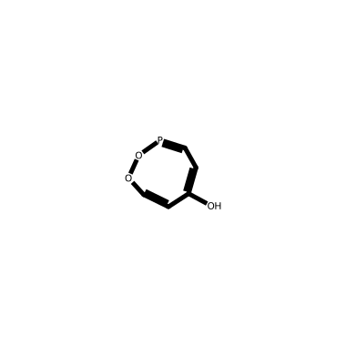 Oc1ccoopcc1